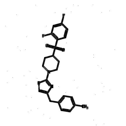 Cc1ccc(Cc2csc(N3CCC(S(=O)(=O)c4ccc(F)cc4F)CC3)n2)cc1